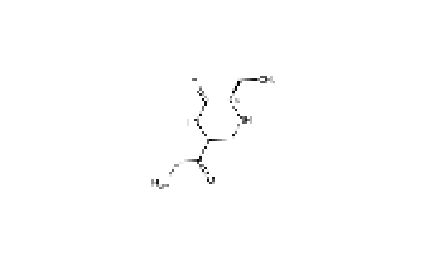 CC[C@H]1NCC(C(=O)OC)NC1=O